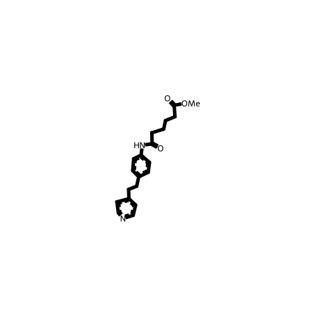 COC(=O)CCCCC(=O)Nc1ccc(CCc2ccncc2)cc1